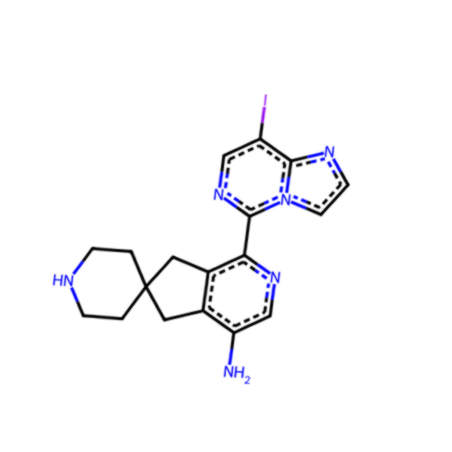 Nc1cnc(-c2ncc(I)c3nccn23)c2c1CC1(CCNCC1)C2